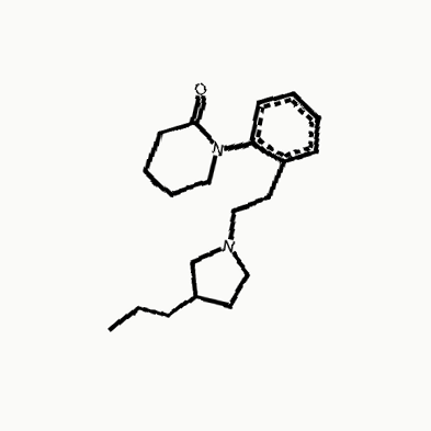 CCCC1CCN(CCc2ccccc2N2CCCCC2=O)C1